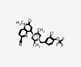 CC1CN(c2cc(=O)n(C)c3ccc(C#N)nc23)[C@@H](C)CN1Cc1ccc(OC(F)(F)F)c(Cl)c1